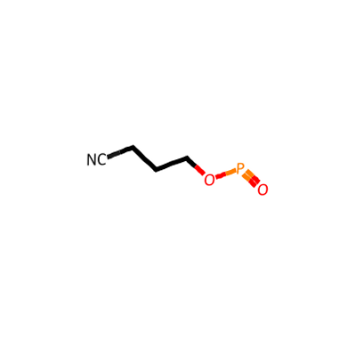 N#CCCCOP=O